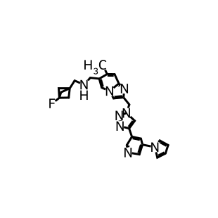 Cc1cc2nc(Cn3cc(-c4cncc(-n5cccc5)c4)nn3)cn2cc1CNCC12CC(F)(C1)C2